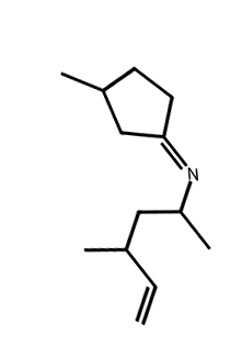 C=CC(C)CC(C)/N=C1/CCC(C)C1